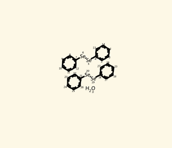 O.c1ccc([Se][Se]c2ccccc2)cc1.c1ccc([Se][Se]c2ccccc2)cc1